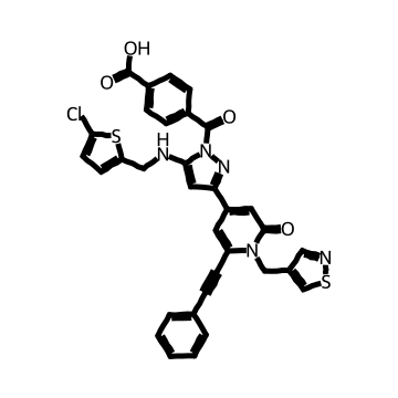 O=C(O)c1ccc(C(=O)n2nc(-c3cc(C#Cc4ccccc4)n(Cc4cnsc4)c(=O)c3)cc2NCc2ccc(Cl)s2)cc1